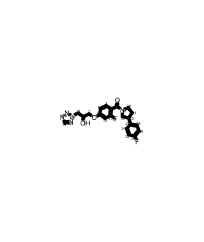 O=C(c1ccc(OCC(O)Cn2ncnn2)cc1F)N1CCC(c2ccc(F)cc2)C1